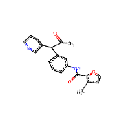 CC(=O)C(c1c[c]cnc1)c1cccc(NC(=O)c2occc2C)c1